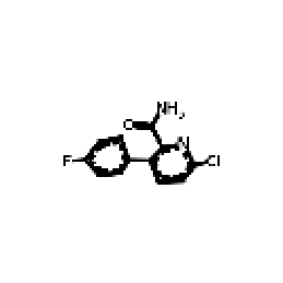 NC(=O)c1nc(Cl)ccc1-c1ccc(F)cc1